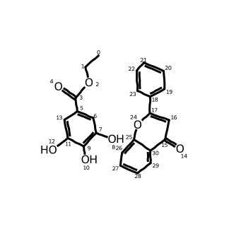 CCOC(=O)c1cc(O)c(O)c(O)c1.O=c1cc(-c2ccccc2)oc2ccccc12